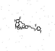 COc1ccc2ncc(F)c(CCCC3(C(=O)O)CCN(CCCSc4cc(F)ccc4F)C3)c2c1